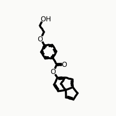 O=C(OC1=C2C=C3CC=CC3(C=C1)C2)c1ccc(OCCO)cc1